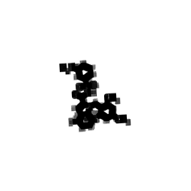 Cc1cc(C)c(Cn2c(C(=O)NS(=O)(=O)c3cccc(N)c3)cc3c(F)cccc32)c(C)c1